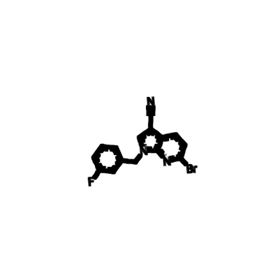 N#Cc1cn(Cc2cccc(F)c2)c2nc(Br)ccc12